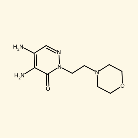 Nc1cnn(CCN2CCOCC2)c(=O)c1N